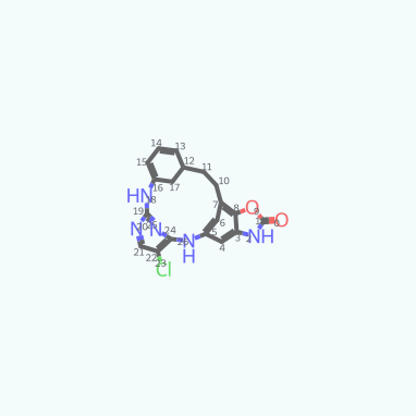 O=c1[nH]c2cc3cc(c2o1)CCC1C=CC=C(C1)Nc1ncc(Cl)c(n1)N3